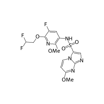 COc1ccn2c(S(=O)(=O)Nc3cc(F)c(OCC(F)F)nc3OC)cnc2n1